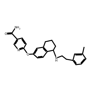 Cc1cccc(CCNC2CCCc3cc(Oc4ccc(C(N)=O)cn4)ccc32)c1